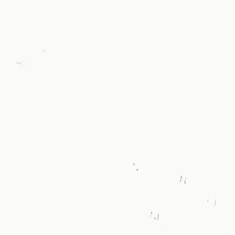 C[C@@H](O)CCC1CCN(C(N)=NO)CC1